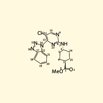 COC(=O)[C@H]1CC[C@H](Nc2ncc(Cl)c(-n3nnc4ccccc43)n2)CC1